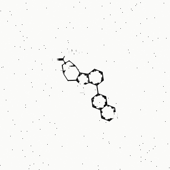 COC(=O)N1C2CCC1c1c([nH]c3c(-c4ccc5ccncc5c4)cccc13)C2